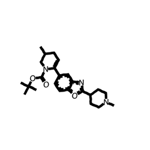 CC1CC=C(c2ccc3oc(C4CCN(C)CC4)nc3c2)N(C(=O)OC(C)(C)C)C1